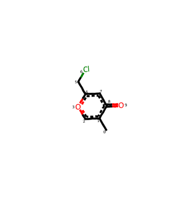 Cc1coc(CCl)cc1=O